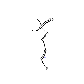 CS(=O)(=O)OC/C=C/F